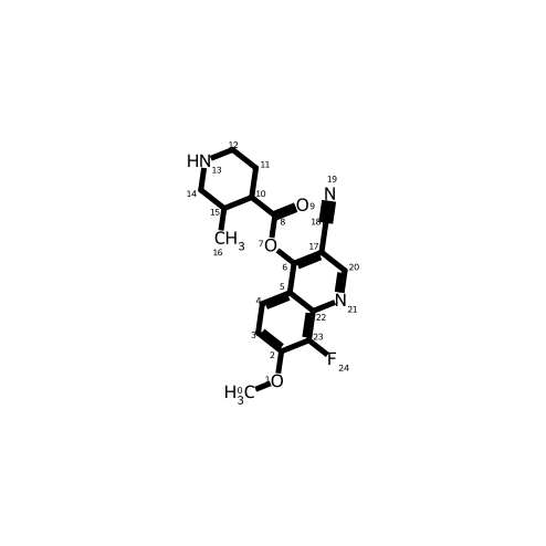 COc1ccc2c(OC(=O)C3CCNCC3C)c(C#N)cnc2c1F